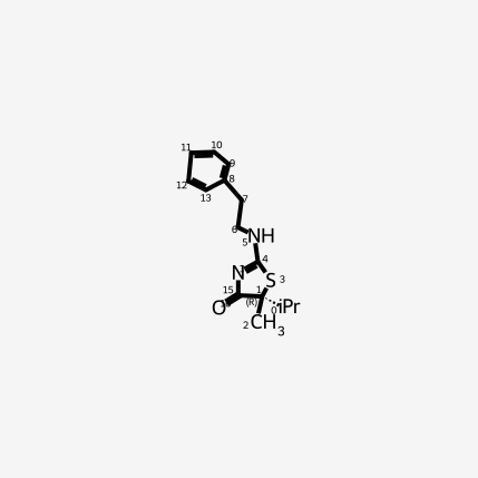 CC(C)[C@@]1(C)SC(NCCc2ccccc2)=NC1=O